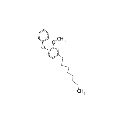 CCCCCCCCc1ccc(Oc2ccccc2)c(OC)c1